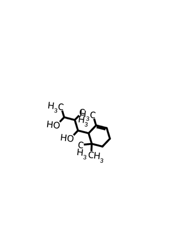 CC1=CCCC(C)(C)C1C(O)C(C)C(C)O